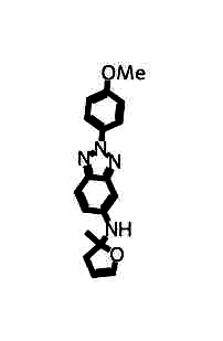 COc1ccc(-n2nc3ccc(NC4(C)CC=CO4)cc3n2)cc1